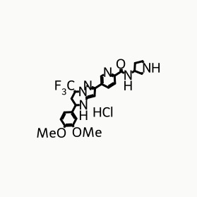 COc1ccc(C2CC(C(F)(F)F)n3nc(-c4ccc(C(=O)NC5CCNC5)nc4)cc3N2)cc1OC.Cl